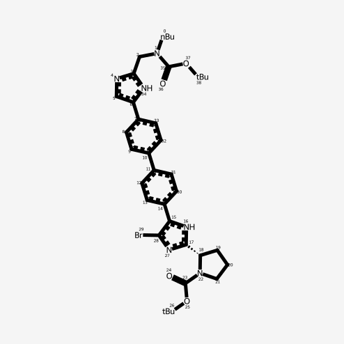 CCCCN(Cc1ncc(-c2ccc(-c3ccc(-c4[nH]c([C@@H]5CCCN5C(=O)OC(C)(C)C)nc4Br)cc3)cc2)[nH]1)C(=O)OC(C)(C)C